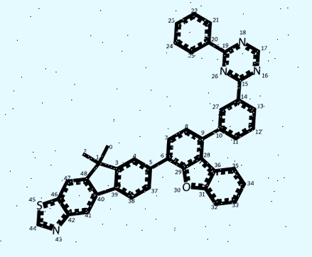 CC1(C)c2cc(-c3ccc(-c4cccc(-c5ncnc(-c6ccccc6)n5)c4)c4c3oc3ccccc34)ccc2-c2cc3ncsc3cc21